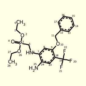 CCOP(=O)(CNc1cc(OCc2ccccc2)c(C(F)(F)F)cc1N)OCC